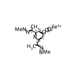 CNN=C(C)c1cccc(C(C)=NNC)n1.[Cl-].[Cl-].[Cl-].[Fe+3]